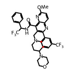 COc1ccc2nc(-c3cccc(C(F)(F)F)c3)c(CN3CCC(N4CCOCC4)CC3)c(C(=O)NC(c3ccccc3)C(F)(F)F)c2n1